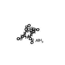 O=S(=O)(O)c1c(Oc2ccccc2)ccc2c3nc4nc(nc5[nH]c(nc6nc(nc([nH]3)c12)-c1cc(Oc2ccccc2)ccc1-6)c1ccc(Oc2ccccc2)cc51)-c1ccc(Oc2ccccc2)cc1-4.[AlH3]